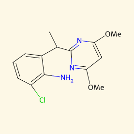 COc1cc(OC)nc(C(C)c2cccc(Cl)c2N)n1